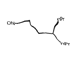 CCCC(CCC)CCN=O